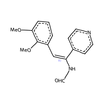 COc1cccc(/C=C(/NC=O)c2ccncc2)c1OC